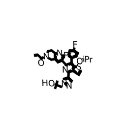 C=CC(=O)N1CCc2ncc(-c3nc(-c4cnn(CC(C)(C)O)c4)c4ccsc4c3-c3c(F)cc(F)cc3OC(C)C)cc2C1